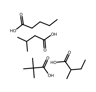 CC(C)(C)C(=O)O.CC(C)CC(=O)O.CCC(C)C(=O)O.CCCCC(=O)O